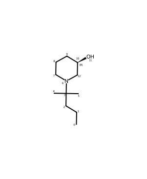 CCCC(C)(C)N1CCC[C@@H](O)C1